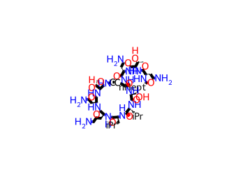 CCCCCCCC(=O)N[C@@H](CCN)C(=O)N[C@H](C(=O)N[C@@H](CCN)C(=O)N[C@H]1CCNC(=O)[C@H]([C@@H](C)O)NC(=O)[C@H](CCN)NC(=O)[C@H](CCCN)NC(=O)[C@H](CC(C)C)NC(=O)[C@@H](CC(C)C)NC(=O)[C@H](CO)NC1=O)[C@@H](C)O